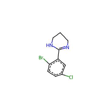 Clc1ccc(Br)c(C2=NCCCN2)c1